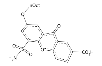 CCCCCCCCOc1cc(S(N)(=O)=O)c2oc3ccc(C(=O)O)cc3c(=O)c2c1